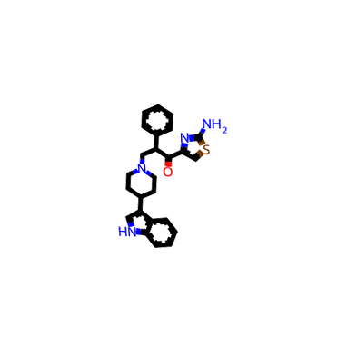 Nc1nc(C(=O)C(CN2CCC(c3c[nH]c4ccccc34)CC2)c2ccccc2)cs1